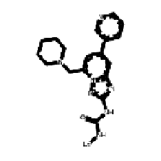 CCNC(=O)Nc1nc2cc(-c3cccnc3)cc(CN3CCCCC3)n2n1